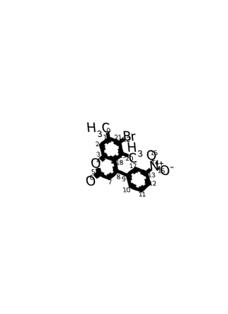 Cc1cc2oc(=O)cc(-c3cccc([N+](=O)[O-])c3)c2c(C)c1Br